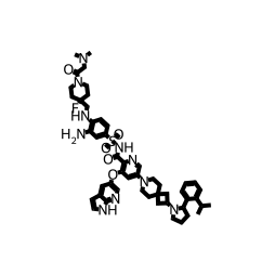 CC(C)c1ccccc1C1CCCN1C1CC2(CCN(c3cnc(C(=O)NS(=O)(=O)c4ccc(NCC5(F)CCN(C(=O)CN(C)C)CC5)c(N)c4)c(Oc4cnc5[nH]ccc5c4)c3)CC2)C1